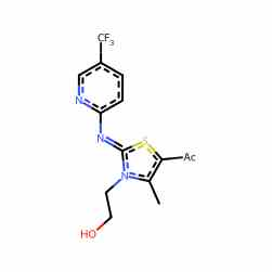 CC(=O)c1s/c(=N\c2ccc(C(F)(F)F)cn2)n(CCO)c1C